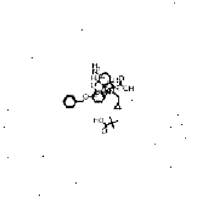 CC(C)(C)C(=O)O.N[C@@H]1CC[C@H]2[C@@]34c5c(ccc(OCc6ccccc6)c5O[C@@H]13)C[C@@]2(C(=O)O)N(CC1CC1)C[C@@H]4F